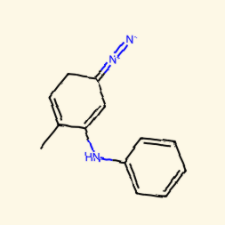 CC1=CCC(=[N+]=[N-])C=C1Nc1ccccc1